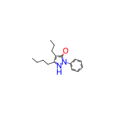 CCCCc1[nH]n(-c2ccccc2)c(=O)c1CCC